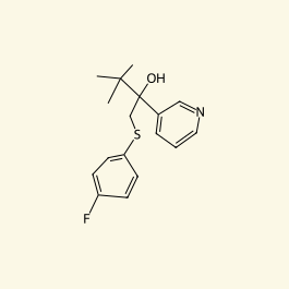 CC(C)(C)C(O)(CSc1ccc(F)cc1)c1cccnc1